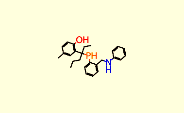 CCCC(CC)(Pc1ccccc1CNc1ccccc1)c1cc(C)ccc1O